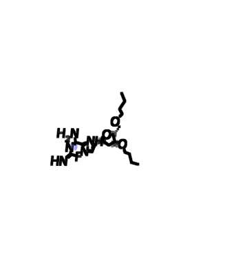 CCCCOC[C@H]1O[C@@H](c2cnc(/C(N)=N\C(=N)F)[nH]2)C[C@@H]1OCCCC